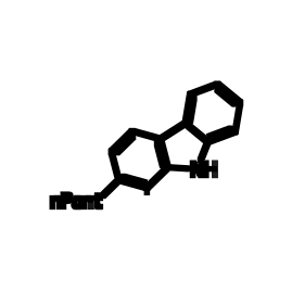 CCCCCc1[c]c2[nH]c3ccccc3c2cc1